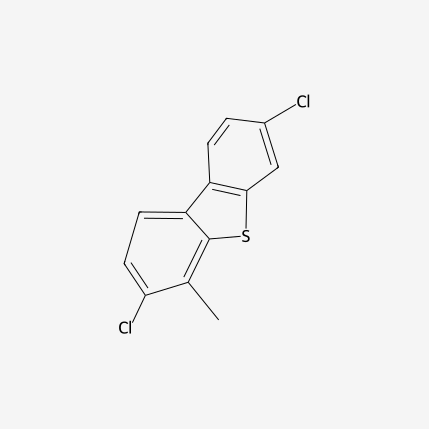 Cc1c(Cl)ccc2c1sc1cc(Cl)ccc12